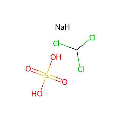 ClC(Cl)Cl.O=S(=O)(O)O.[NaH]